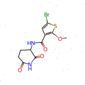 COc1sc(Br)cc1C(=O)NC1CCC(=O)NC1=O